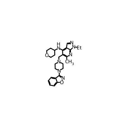 CCn1ncc2c(NC3CCOCC3)c(CN3CCN(c4noc5ccccc45)CC3)c(C)nc21